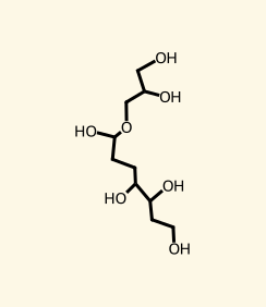 OCCC(O)C(O)CCC(O)OCC(O)CO